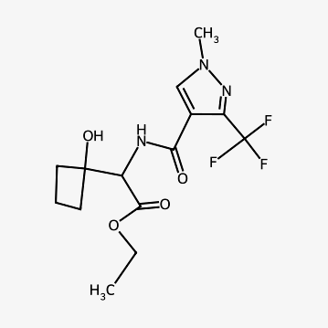 CCOC(=O)C(NC(=O)c1cn(C)nc1C(F)(F)F)C1(O)CCC1